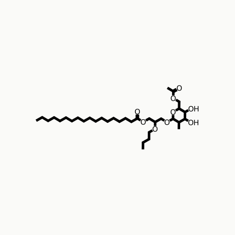 CCCCCCCCCCCCCCCCCC(=O)OCC(COC1OC(COC(C)=O)C(O)C(O)C1C)OCCCC